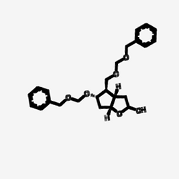 OC1C[C@H]2[C@H](COCOCc3ccccc3)[C@@H](OCOCc3ccccc3)C[C@H]2O1